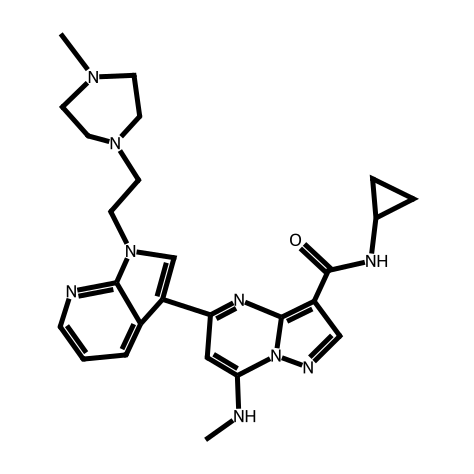 CNc1cc(-c2cn(CCN3CCN(C)CC3)c3ncccc23)nc2c(C(=O)NC3CC3)cnn12